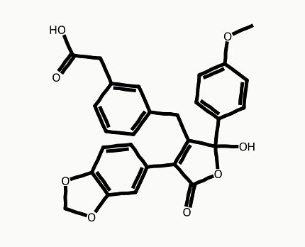 COc1ccc(C2(O)OC(=O)C(c3ccc4c(c3)OCO4)=C2Cc2cccc(CC(=O)O)c2)cc1